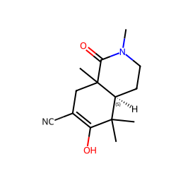 CN1CC[C@H]2C(C)(C)C(O)=C(C#N)CC2(C)C1=O